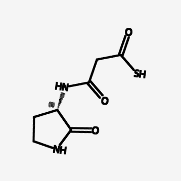 O=C(S)CC(=O)N[C@H]1CCNC1=O